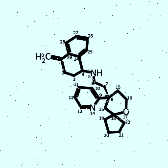 C=C1CCC(NCC[C@@]2(c3ccccn3)CCOC3(CCCC3)C2)c2ccccc21